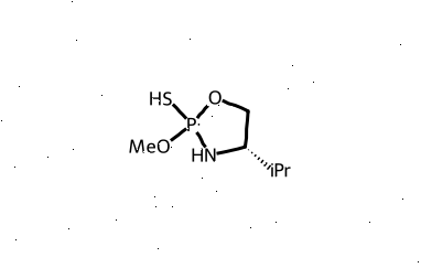 CO[P]1(S)N[C@@H](C(C)C)CO1